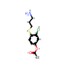 CCC(=O)Oc1ccc(SCCCN)c(Cl)c1